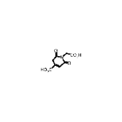 O=C(O)CN1C(=O)C=C(C(=O)O)CC1=O